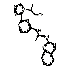 CC(CO)n1cnnc1-c1nccc(NC(=O)Nc2ncc3ccccc3n2)n1